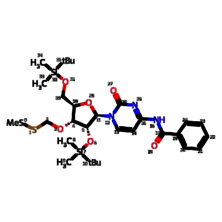 CSSCO[C@H]1[C@@H](O[Si](C)(C)C(C)(C)C)[C@H](n2ccc(NC(=O)c3ccccc3)nc2=O)O[C@@H]1CO[Si](C)(C)C(C)(C)C